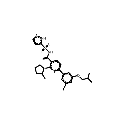 CC(C)COc1cc(F)cc(-c2ccc(C(=O)NS(=O)(=O)c3ccn[nH]3)c(N3CCCC3C)n2)c1